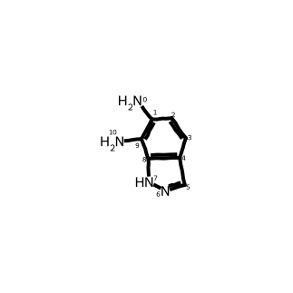 Nc1ccc2cn[nH]c2c1N